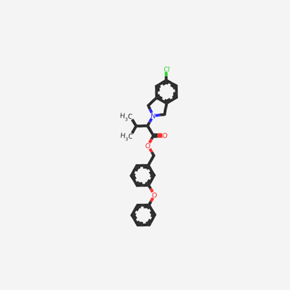 CC(C)C(C(=O)OCc1cccc(Oc2ccccc2)c1)N1Cc2ccc(Cl)cc2C1